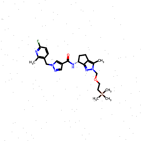 Cc1nc(F)ccc1Cn1cc(C(=O)N[C@@H]2CCc3c2nn(COCCS(C)(C)C)c3C)cn1